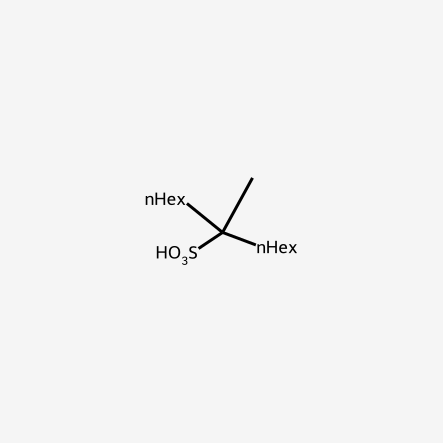 CCCCCCC(C)(CCCCCC)S(=O)(=O)O